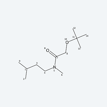 CC(C)CCN(C)C(=O)[CH]OC(C)(C)C